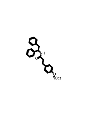 CCCCCCCCOc1ccc(CCC(=O)NC(Cc2ccccc2)c2ccccc2)cc1